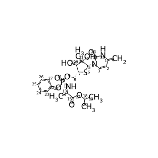 C=C1C=CN([C@@H]2S[C@H](COP(=O)(N[C@H](C)C(=O)OC(C)C)Oc3ccccc3)[C@@H](O)[C@@]2(C)O)C(=O)N1